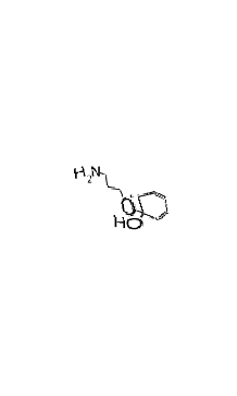 NCCCOC1(O)[CH]C=CC=C1